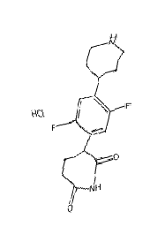 Cl.O=C1CCC(c2cc(F)c(C3CCNCC3)cc2F)C(=O)N1